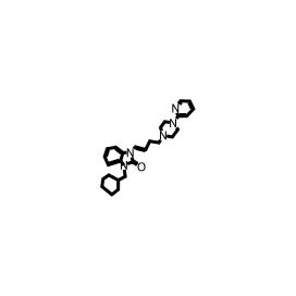 O=c1n(C=CCCN2CCN(c3ccccn3)CC2)c2ccccc2n1CC1CCCCC1